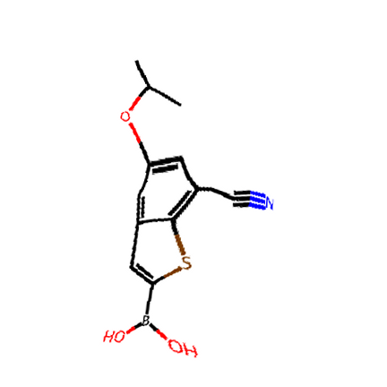 CC(C)Oc1cc(C#N)c2sc(B(O)O)cc2c1